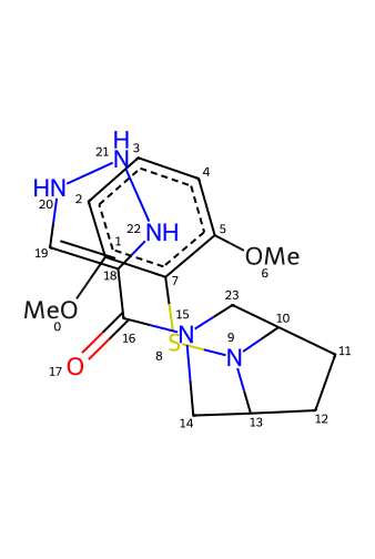 COc1cccc(OC)c1SN1C2CCC1CN(C(=O)C1=CNNN1)C2